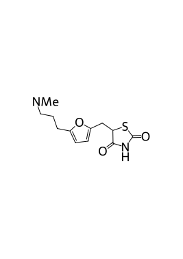 CNCCCc1ccc(CC2SC(=O)NC2=O)o1